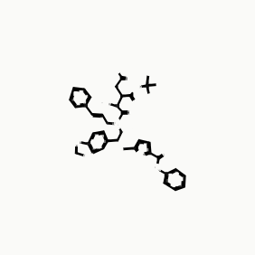 C[C@H]([C@H](Cc1ccc(C(=O)Nc2ccccc2)o1)c1ccc2c(c1)OCO2)N(CC=Cc1ccccc1)C(=O)C(O)C(CC(=O)O)C(=O)OC(C)(C)C